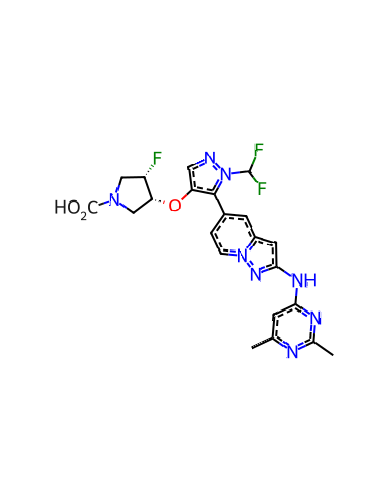 Cc1cc(Nc2cc3cc(-c4c(O[C@@H]5CN(C(=O)O)C[C@@H]5F)cnn4C(F)F)ccn3n2)nc(C)n1